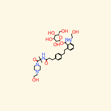 CC(C)(NC(=O)CCc1ccc(CCc2cccc3c2c(O[C@@H]2O[C@H](CO)[C@@H](O)[C@H](O)[C@H]2O)nn3CCO)cc1)C(=O)N1CCN(CCO)CC1